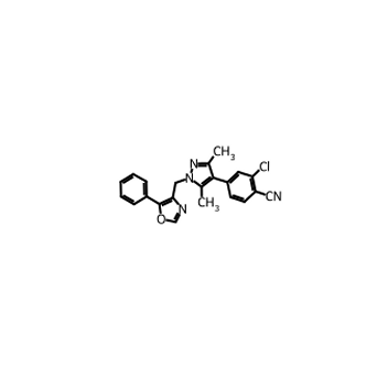 Cc1nn(Cc2ncoc2-c2ccccc2)c(C)c1-c1ccc(C#N)c(Cl)c1